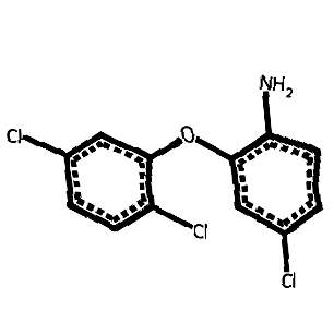 Nc1ccc(Cl)cc1Oc1cc(Cl)ccc1Cl